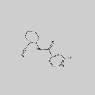 N#CC1CCCCC1NC(=O)c1ccnc(F)c1